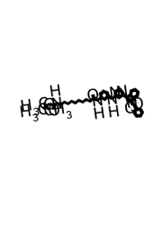 CC(C)(C)OC(=O)NCCCCCCCCCC(=O)Nc1cccc(Nc2cc(-c3cn(S(=O)(=O)c4ccccc4)c4ccccc34)ncn2)c1